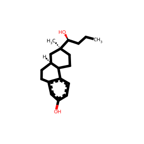 CCC[C@H](O)[C@@]1(C)CCC2c3ccc(O)cc3CC[C@H]2C1